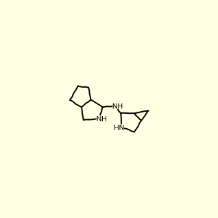 C1CC2CNC(NC3NCC4CC43)C2C1